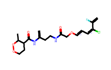 C=C(CCNC(=O)CO/C=C/C=C(/Cl)C(=C)F)NC(=O)C1CCOOC1C